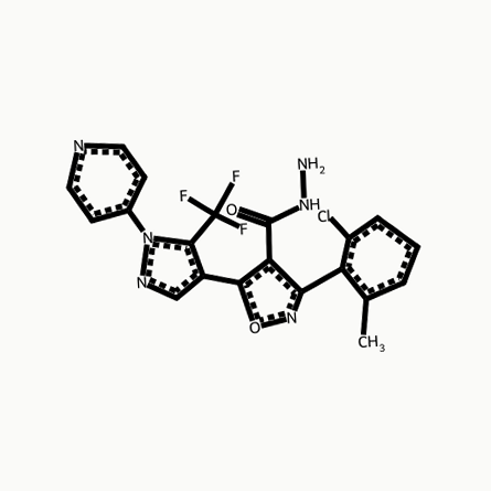 Cc1cccc(Cl)c1-c1noc(-c2cnn(-c3ccncc3)c2C(F)(F)F)c1C(=O)NN